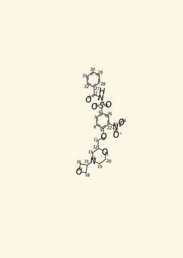 O=C(NS(=O)(=O)c1ccc(OCC2CN(C3COC3)CCO2)c([N+](=O)[O-])c1)c1ccccc1